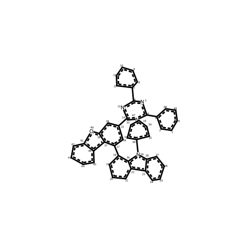 c1ccc(-c2nc(-c3ccccc3)nc(-c3cc(-c4cccc5c6ccccc6n(-c6ccccc6)c45)c4c(c3)oc3ccccc34)n2)cc1